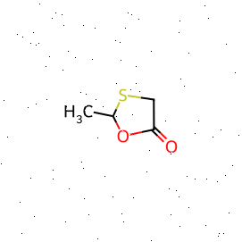 CC1OC(=O)CS1